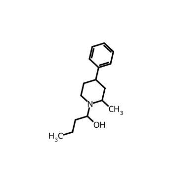 CCCC(O)N1CCC(c2ccccc2)CC1C